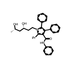 CC(C)c1c(C(=O)Nc2ccccc2)c(-c2ccccc2)c(-c2ccccc2)n1CC[C@@H](O)C[C@H](C)O